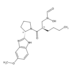 CCCC[C@H](CN(O)C=O)C(=O)N1CCC[C@H]1c1nc2cc(OC)ccc2[nH]1